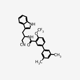 Cc1cc(C)cc(-c2ccc(OC(F)(F)F)c(C(=O)NC(CC#N)Cc3c[nH]c4ccccc34)c2)c1